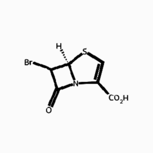 O=C(O)C1=CS[C@@H]2C(Br)C(=O)N12